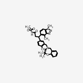 Cc1ccc(C(CC(=O)NS(C)(=O)=O)c2ccc3c(nnn3C)c2C)cc1CN1Cc2ccccc2OC(C)(C)C1